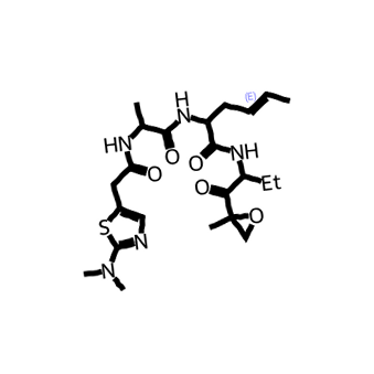 C/C=C/CC(NC(=O)C(C)NC(=O)Cc1cnc(N(C)C)s1)C(=O)NC(CC)C(=O)C1(C)CO1